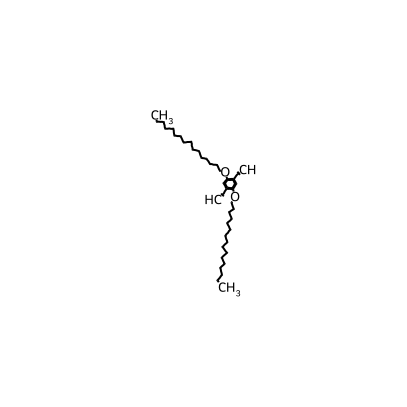 C#Cc1cc(OCCCCCCCCCCCCCCCC)c(C#C)cc1OCCCCCCCCCCCCCCCC